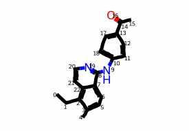 CCc1c(C)ccc2c(Nc3ccc(C(C)=O)cc3)nccc12